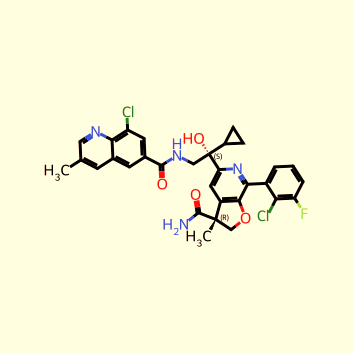 Cc1cnc2c(Cl)cc(C(=O)NC[C@](O)(c3cc4c(c(-c5cccc(F)c5Cl)n3)OC[C@]4(C)C(N)=O)C3CC3)cc2c1